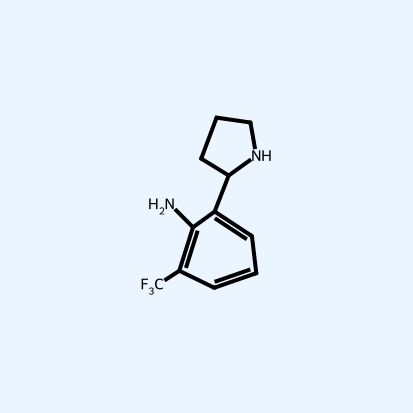 Nc1c(C2CCCN2)cccc1C(F)(F)F